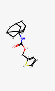 O=C(NC12CC3CC(CC(C3)C1)C2)OCc1cccs1